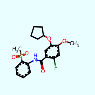 COc1cc(F)c(C(=O)Nc2ccccc2S(C)(=O)=O)cc1OC1CCCC1